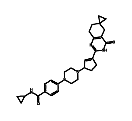 O=C(NC1CC1)c1ccc(N2CCN(C3C=C(c4nc5c(c(=O)[nH]4)CC4(CC5)CC4)CC3)CC2)cc1